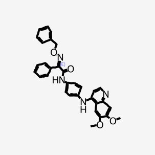 COc1cc2nccc(Nc3ccc(NC(=O)/C(=N/OCc4ccccc4)c4ccccc4)cc3)c2cc1OC